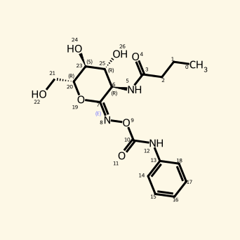 CCCC(=O)N[C@H]1/C(=N\OC(=O)Nc2ccccc2)O[C@H](CO)[C@@H](O)[C@@H]1O